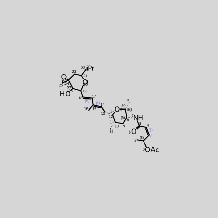 CC(=O)O[C@@H](C)/C=C\C(=O)N[C@@H]1C[C@H](C)[C@H](C/C=C(C)/C=C/C2OC(C(C)C)CC3(CO3)C2O)O[C@@H]1C